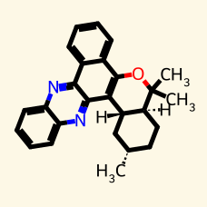 C[C@H]1CC[C@H]2[C@H](C1)c1c(c3ccccc3c3nc4ccccc4nc13)OC2(C)C